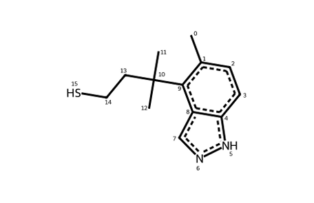 Cc1ccc2[nH]ncc2c1C(C)(C)CCS